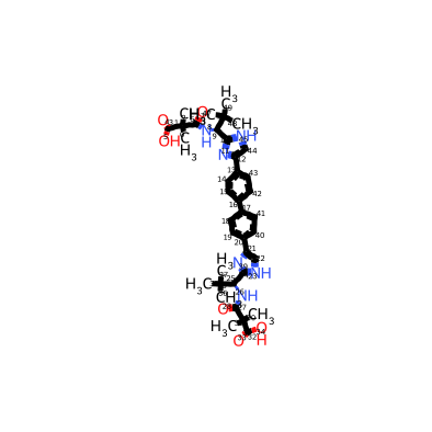 CC(C)(C(=O)O)C(=O)N[C@H](c1nc(-c2ccc(-c3ccc(-c4c[nH]c([C@@H](NC(=O)C(C)(C)C(=O)O)C(C)(C)C)n4)cc3)cc2)c[nH]1)C(C)(C)C